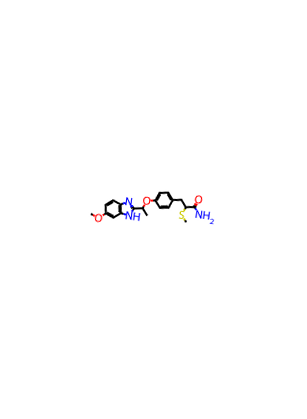 COc1ccc2nc(C(C)Oc3ccc(CC(SC)C(N)=O)cc3)[nH]c2c1